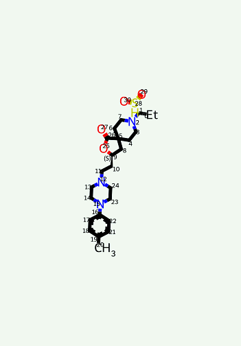 CCC(N1CCC2(CC1)C[C@@H](CCN1CCN(c3ccc(C)cc3)CC1)OC2=O)[SH](=O)=O